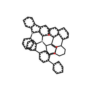 C1=CCC(N(c2ccccc2-c2ccc(-c3ccccc3)cc2)c2cccc3c4ccccc4n(-c4ccccc4)c23)C(c2cccc3cccc(C4CCCCC4)c23)=C1